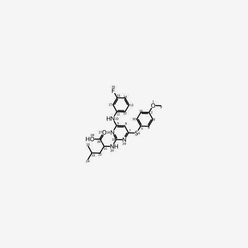 COc1ccc(Sc2cc(Nc3cccc(F)c3)nc(NC(CC(C)C)C(=O)O)n2)cc1